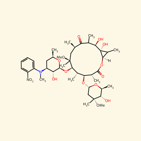 CO[C@]1(C)C[C@H](O[C@H]2[C@H](C)[C@@H](O[C@@H]3O[C@H](C)C[C@H](N(C)c4ccccc4[N+](=O)[O-])[C@H]3O)[C@@](C)(OC)C[C@@H](C)C(=O)C(C)[C@@H](O)[C@@]3(O)C(C)[C@H]3OC(=O)[C@@H]2C)O[C@@H](C)[C@@H]1O